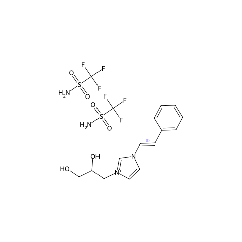 NS(=O)(=O)C(F)(F)F.NS(=O)(=O)C(F)(F)F.OCC(O)C[n+]1ccn(/C=C/c2ccccc2)c1